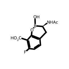 CC(=O)N[C@H]1Cc2ccc(F)c(C(=O)O)c2OB1O